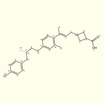 CC(=CCN1CC(C(=O)O)C1)c1ccc(OC[C@@H](C)Cc2ccc(Cl)cc2)cc1C